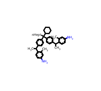 CCCCCCCC(c1ccc(C(C)c2ccc(N)cc2C)cc1)(c1ccc(C(C)c2ccc(N)cc2C)cc1)C1CCCCC1